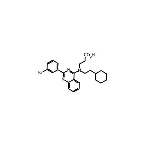 O=C(O)CCN(CCC1CCCCC1)c1nc(-c2cccc(Br)c2)nc2ccccc12